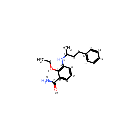 CCOc1c(NC(C)CCc2ccccc2)cccc1C(N)=O